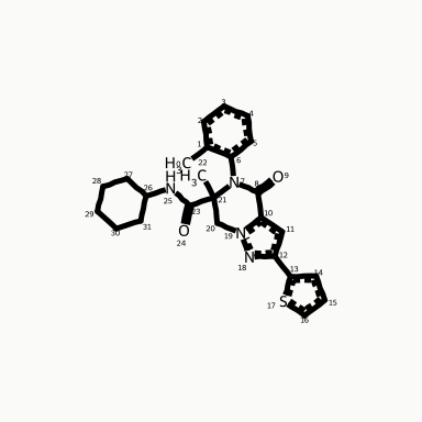 Cc1ccccc1N1C(=O)c2cc(-c3cccs3)nn2CC1(C)C(=O)NC1CCCCC1